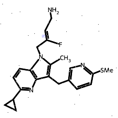 CSc1ccc(Cc2c(C)n(C/C(F)=C/CN)c3ccc(C4CC4)nc23)cn1